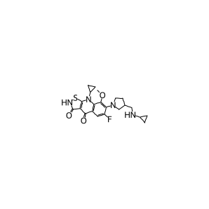 COc1c(N2CCC(CNC3CC3)C2)c(F)cc2c(=O)c3c(=O)[nH]sc3n(C3CC3)c12